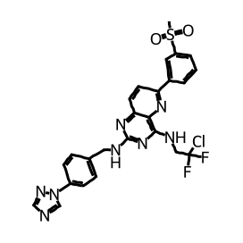 CS(=O)(=O)c1cccc(-c2ccc3nc(NCc4ccc(-n5cncn5)cc4)nc(NCC(F)(F)Cl)c3n2)c1